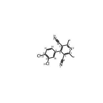 Cc1nc(C)c(C#N)c(-c2ccc(Cl)c(Cl)c2)c1C#N